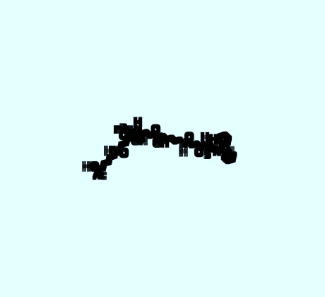 CCCCC(NC(=O)CCC(=O)N(O)CCCCCNC(=O)CCC(=O)NC(=S)NN=C(c1ccccn1)c1ccccn1)N(O)C(=O)CCC(=O)NCCCCCN(O)C(C)=O